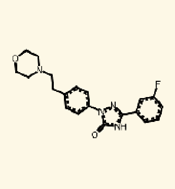 O=c1[nH]c(-c2cccc(F)c2)nn1-c1ccc(CCN2CCOCC2)cc1